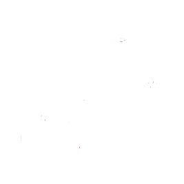 CCn1ccc2cc(Br)c(OC)cc2c1=O